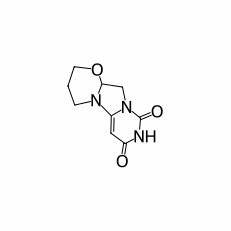 O=c1cc2n(c(=O)[nH]1)CC1OCCCN21